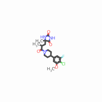 COc1cc(C2CCN(C(=O)C(C)CC3(C)NC(=O)NC3=O)CC2)cc(F)c1Cl